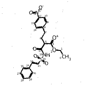 CCOC(=O)C(CCc1ccc([N+](=O)[O-])cc1)C(=O)NS(=O)(=O)C=Cc1ccccc1